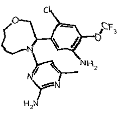 Cc1cc(N2CCCOCC2c2cc(N)c(OC(F)(F)F)cc2Cl)nc(N)n1